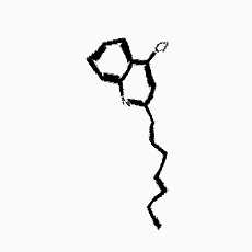 CCCCCCCc1cc(Cl)c2ccccc2n1